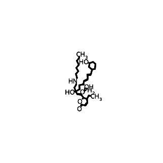 CCCCCCCCNCCC(O)(C=CC1OC(=O)C=CC1CC)C(CC(O)C=CC=CC1CCCC(O)C1)OP